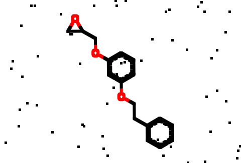 c1ccc(CCOc2cccc(OCC3CO3)c2)cc1